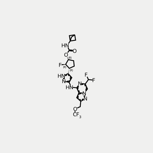 O=C(NC12CC(C1)C2)O[C@@H]1CC[C@H](c2cc(Nc3nc(C(F)F)cn4nc(COC(F)(F)F)cc34)n[nH]2)[C@H]1F